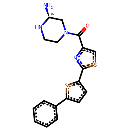 N[C@H]1CN(C(=O)c2csc(-c3ccc(-c4ccccc4)s3)n2)CCN1